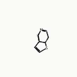 [C]1N=CCC2SC=CC12